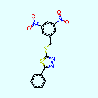 O=[N+]([O-])c1cc(CSc2nnc(-c3ccccc3)s2)cc([N+](=O)[O-])c1